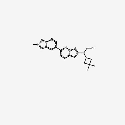 Cn1cc2cc(-c3ccc4cc(C(CO)C5CC(F)(F)C5)sc4n3)cnc2n1